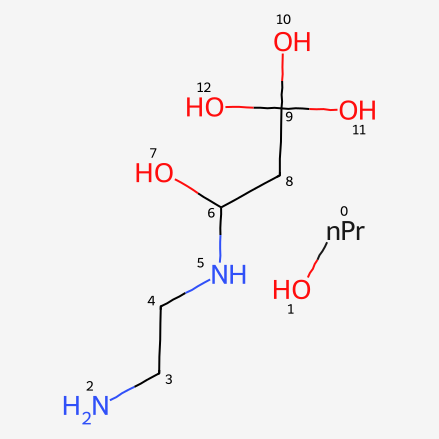 CCCO.NCCNC(O)CC(O)(O)O